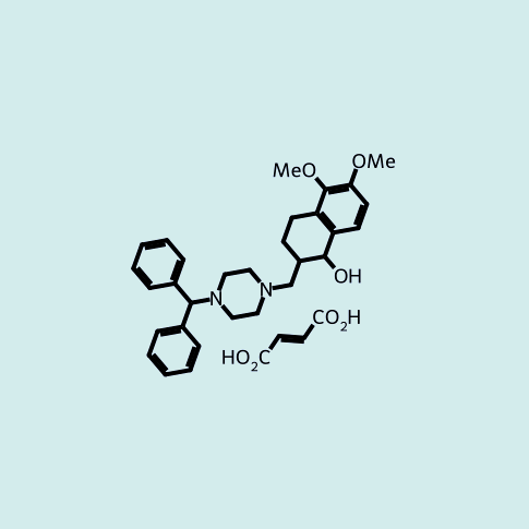 COc1ccc2c(c1OC)CCC(CN1CCN(C(c3ccccc3)c3ccccc3)CC1)C2O.O=C(O)C=CC(=O)O